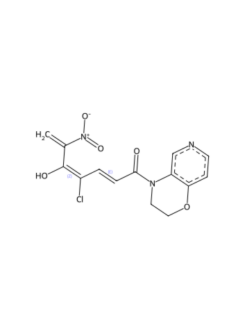 C=C(/C(O)=C(Cl)\C=C\C(=O)N1CCOc2ccncc21)[N+](=O)[O-]